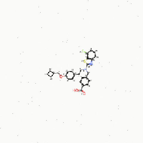 O=C(O)c1ccc(CN(CCc2ccc(OCC3CCC3)cc2)c2nc3cccc(F)c3s2)cc1